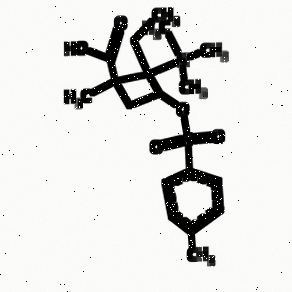 CCC1([Si](C)(C)C)C(OS(=O)(=O)c2ccc(C)cc2)CC1(C)C(=O)O